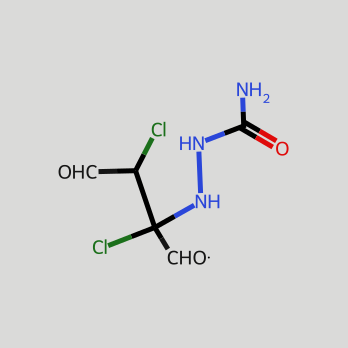 NC(=O)NNC(Cl)([C]=O)C(Cl)C=O